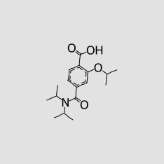 CC(C)Oc1cc(C(=O)N(C(C)C)C(C)C)ccc1C(=O)O